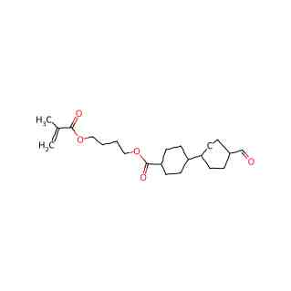 C=C(C)C(=O)OCCCCOC(=O)C1CCC(C2CCC(C=O)CC2)CC1